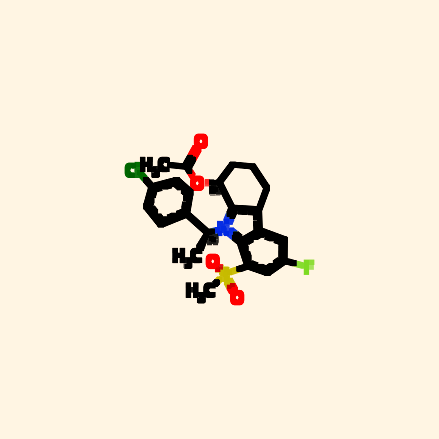 CC(=O)O[C@@H]1CCCc2c1n([C@@H](C)c1ccc(Cl)cc1)c1c(S(C)(=O)=O)cc(F)cc21